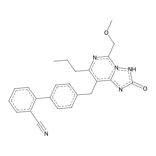 CCCc1nc(COC)n2[nH]c(=O)nc2c1Cc1ccc(-c2ccccc2C#N)cc1